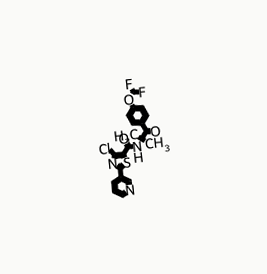 CC(C)(NC(=O)c1sc(-c2cccnc2)nc1Cl)C(=O)c1ccc(OC(F)F)cc1